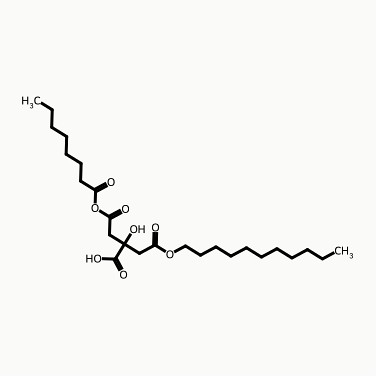 CCCCCCCCCCCOC(=O)CC(O)(CC(=O)OC(=O)CCCCCCC)C(=O)O